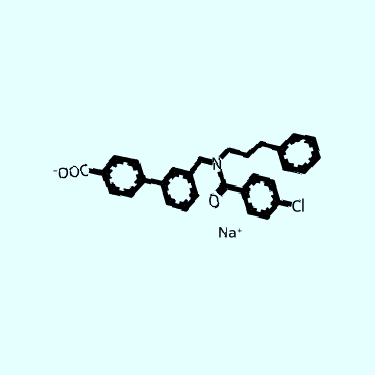 O=C([O-])c1ccc(-c2cccc(CN(CCCc3ccccc3)C(=O)c3ccc(Cl)cc3)c2)cc1.[Na+]